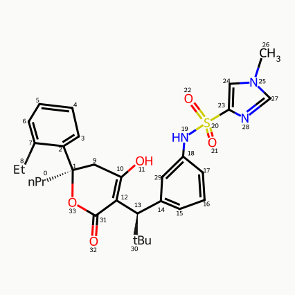 CCC[C@]1(c2ccccc2CC)CC(O)=C([C@@H](c2cccc(NS(=O)(=O)c3cn(C)cn3)c2)C(C)(C)C)C(=O)O1